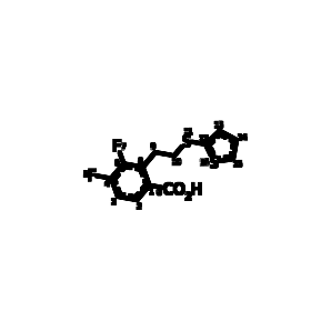 O=C(O)c1ccc(F)c(F)c1CCSc1cccs1